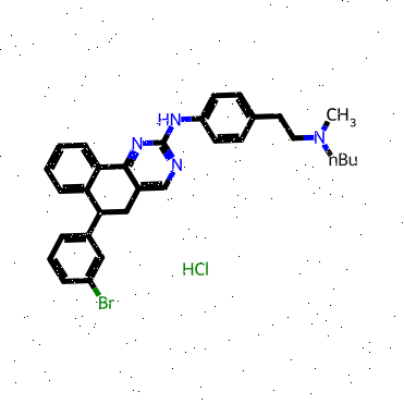 CCCCN(C)CCc1ccc(Nc2ncc3c(n2)-c2ccccc2C(c2cccc(Br)c2)C3)cc1.Cl